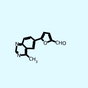 Cc1ncnc2ccc(-c3ccc(C=O)o3)cc12